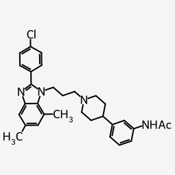 CC(=O)Nc1cccc(C2CCN(CCCn3c(-c4ccc(Cl)cc4)nc4cc(C)cc(C)c43)CC2)c1